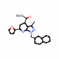 COC(=O)c1cc(-c2ccco2)nc2c1c(C)nn2Cc1ccc2ccccc2c1